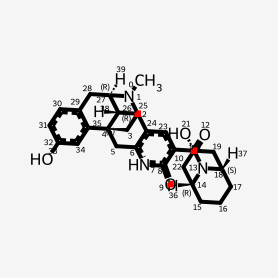 CN1CC[C@]23Cc4[nH]c(=O)c(C(=O)N5[C@@H]6CCC[C@H]5C[C@@H](O)C6)cc4C[C@H]2[C@H]1Cc1ccc(O)cc13